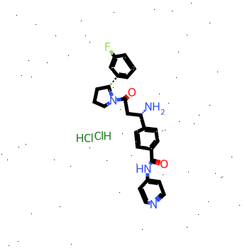 Cl.Cl.N[C@@H](CC(=O)N1CCC[C@@H]1c1cccc(F)c1)c1ccc(C(=O)Nc2ccncc2)cc1